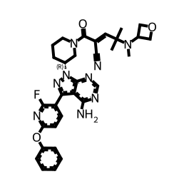 CN(C1COC1)C(C)(C)C=C(C#N)C(=O)N1CCC[C@@H](n2nc(-c3ccc(Oc4ccccc4)nc3F)c3c(N)ncnc32)C1